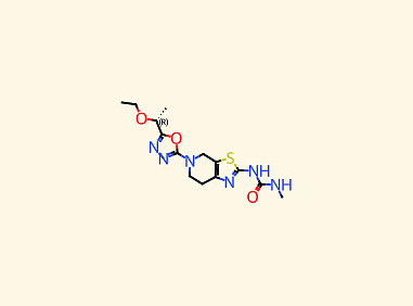 CCO[C@H](C)c1nnc(N2CCc3nc(NC(=O)NC)sc3C2)o1